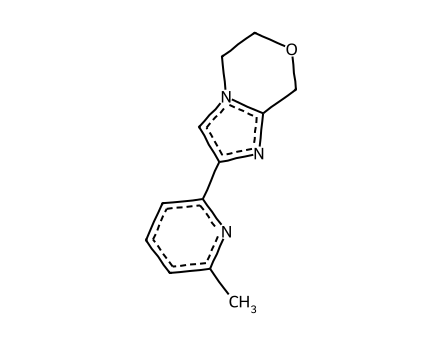 Cc1cccc(-c2cn3c(n2)COCC3)n1